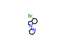 Brc1cccc2c1ccn2-c1ccccn1